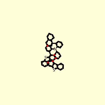 c1cc(-c2cccc3sc4ccccc4c23)cc(N(c2ccccc2-c2cccc3ccccc23)c2ccccc2-c2cccc3c2sc2ccccc23)c1